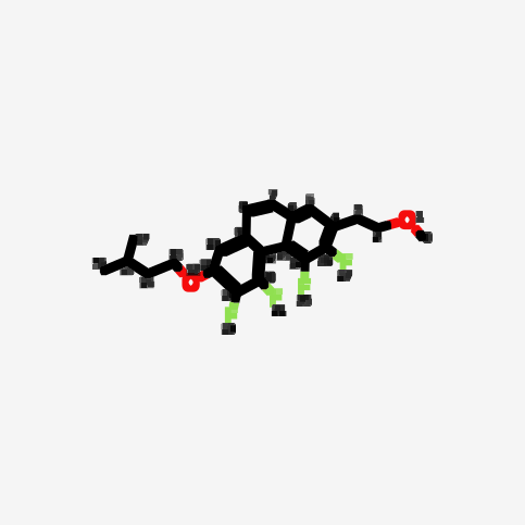 COCCc1cc2ccc3cc(OCCC(C)C)c(F)c(F)c3c2c(F)c1F